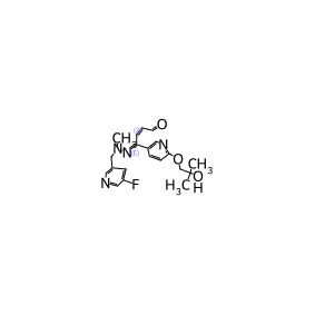 CN(Cc1cncc(F)c1)/N=C(\C=C/C=O)c1ccc(OCC(C)(C)O)nc1